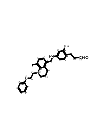 Cc1ccc(CNc2ccc(CCC=O)c(F)c2)c2c1N(CCOc1ccccc1)CCC2